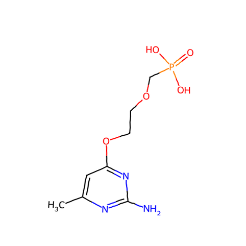 Cc1cc(OCCOCP(=O)(O)O)nc(N)n1